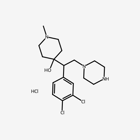 CN1CCC(O)(C(CN2CCNCC2)c2ccc(Cl)c(Cl)c2)CC1.Cl